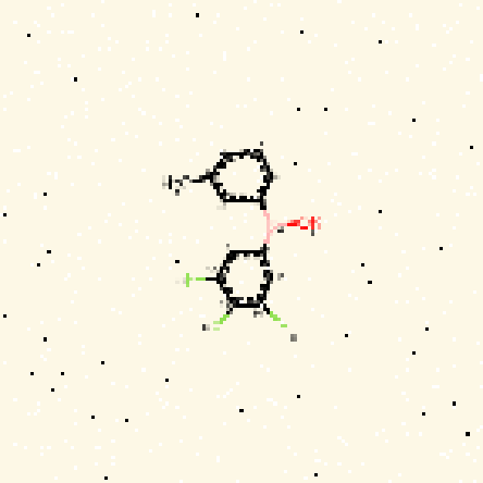 Cc1cccc(B(O)c2cc(F)c(F)c(F)c2)c1